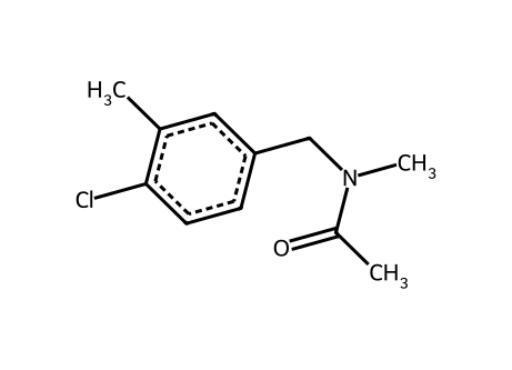 CC(=O)N(C)Cc1ccc(Cl)c(C)c1